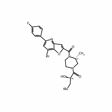 CC(C)c1cc(-c2ccc(F)cc2)nc2cc(C(=O)N3CCN(C(=O)[C@H](O)CC(C)(C)C)C[C@H]3C)oc12